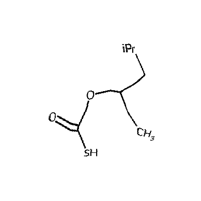 CC(C)CC(C)OC(=O)S